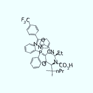 CCCC(C)(C)[C@@H](C(=O)C(C#N)=P(c1ccccc1)(c1ccccc1)c1ccccc1)N(C(=O)O)[C@H](CC)CCc1nnc(-c2ccc(C(F)(F)F)cc2)o1